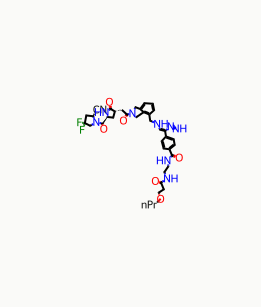 CCCOCCC(=O)NCCNC(=O)c1ccc(/C(=C/NCc2cccc3c2CN(C(=O)C[C@@H]2C[C@@H](C(=O)N4CC(F)(F)C[C@H]4C#N)NC2=O)C3)N=N)cc1